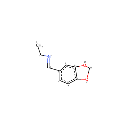 CCN=Cc1ccc2c(c1)OCO2